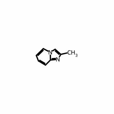 Cc1cn2ccccc2n1